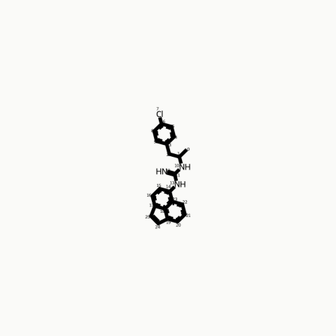 CC(Cc1ccc(Cl)cc1)NC(=N)Nc1ccc2c3c(cccc13)C=C2